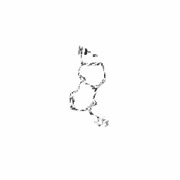 Nc1ccc2cc(C(F)(F)F)ccc2c1